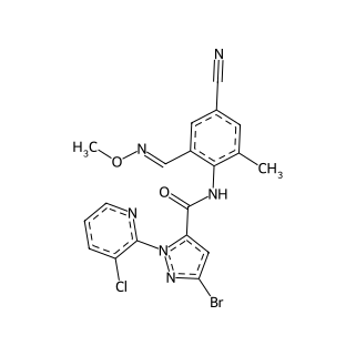 CO/N=C/c1cc(C#N)cc(C)c1NC(=O)c1cc(Br)nn1-c1ncccc1Cl